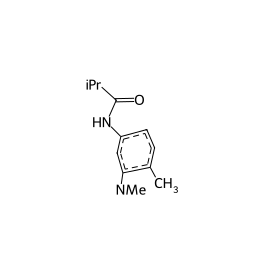 CNc1cc(NC(=O)C(C)C)ccc1C